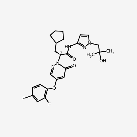 CC(C)(O)Cn1ccc(NC(=O)[C@H](CC2CCCC2)n2ncc(Oc3ccc(F)cc3F)cc2=O)n1